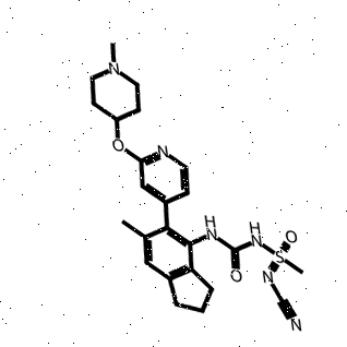 Cc1cc2c(c(NC(=O)NS(C)(=O)=NC#N)c1-c1ccnc(OC3CCN(C)CC3)c1)CCC2